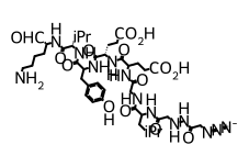 CC(C)CC(NC(=O)CNNC(=O)CN=[N+]=[N-])C(=O)NCC(=O)NC(CCC(=O)O)C(=O)N[C@@H](CCC(=O)O)C(=O)NC(Cc1ccc(O)cc1)C(=O)N[C@H](C(=O)N[C@H](C=O)CCCCN)C(C)C